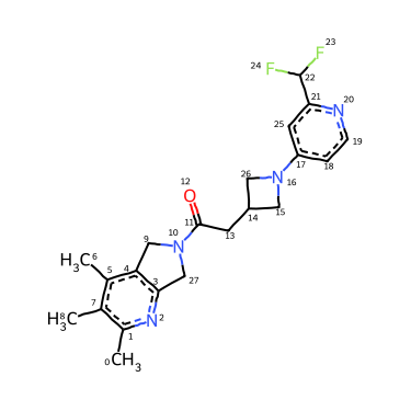 Cc1nc2c(c(C)c1C)CN(C(=O)CC1CN(c3ccnc(C(F)F)c3)C1)C2